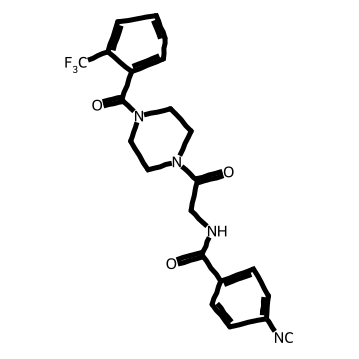 [C-]#[N+]c1ccc(C(=O)NCC(=O)N2CCN(C(=O)c3ccccc3C(F)(F)F)CC2)cc1